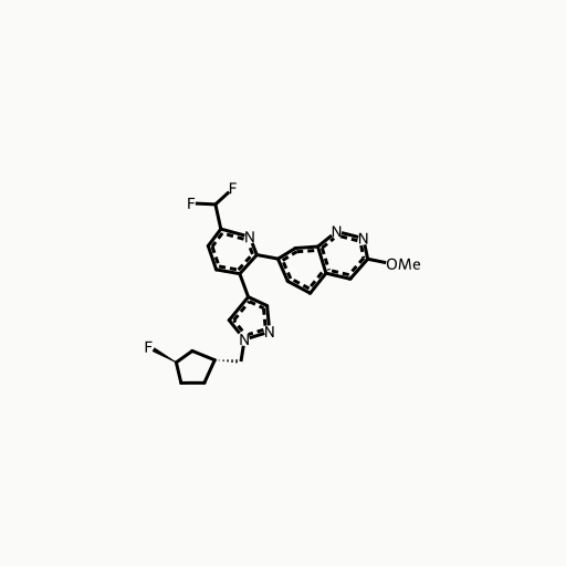 COc1cc2ccc(-c3nc(C(F)F)ccc3-c3cnn(C[C@@H]4CC[C@@H](F)C4)c3)cc2nn1